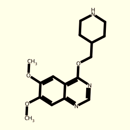 COc1cc2ncnc(OCC3CCNCC3)c2cc1OC